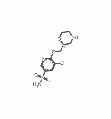 NS(=O)(=O)c1cnc(OC[C@@H]2CNCCO2)c(Cl)c1